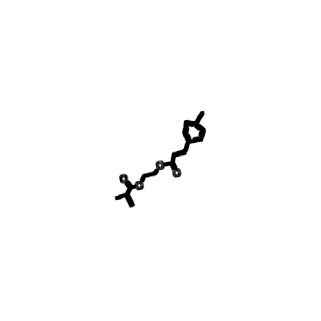 C=C(C)C(=O)OCCOC(=O)/C=C/c1ccc(C)cc1